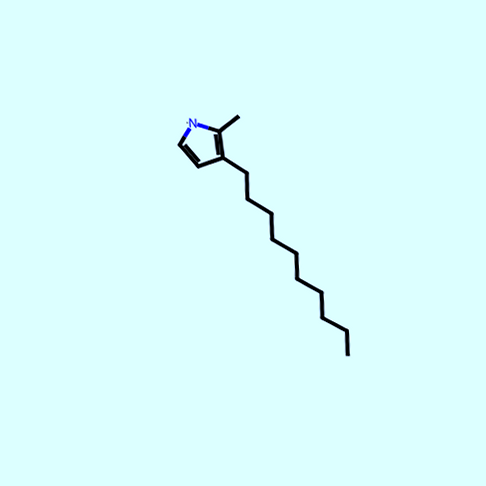 CCCCCCCCCCC1=C(C)[N]C=C1